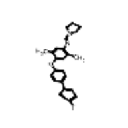 Cc1cc(Oc2ccc(-c3ccc(F)cc3)cc2)c(C)cc1N=CN1CCCC1